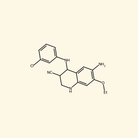 CCOc1cc2c(cc1N)C(Nc1cccc(Cl)c1)C(C#N)CN2